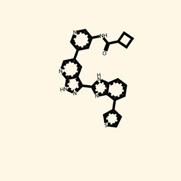 O=C(Nc1cncc(-c2cnc3[nH]nc(-c4nc5c(-c6ccsc6)cccc5[nH]4)c3c2)c1)C1CCC1